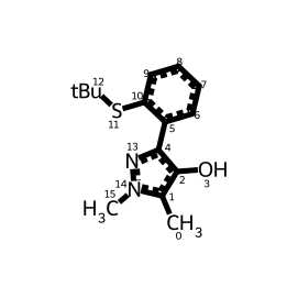 Cc1c(O)c(-c2ccccc2SC(C)(C)C)nn1C